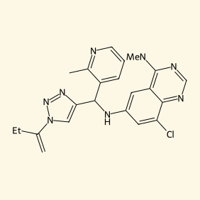 C=C(CC)n1cc(C(Nc2cc(Cl)c3ncnc(NC)c3c2)c2cccnc2C)nn1